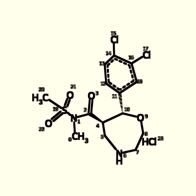 CN(C(=O)[C@@H]1CNCCO[C@H]1c1ccc(Cl)c(Cl)c1)S(C)(=O)=O.Cl